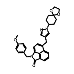 COc1ccc(CN2C(=O)c3cccc4c(Cc5cnn(C6CCC7(CC6)OCCO7)c5)ccc2c34)cc1